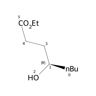 CCCC[C@@H](O)CCC(=O)OCC